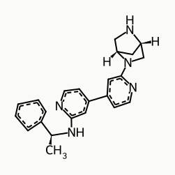 C[C@H](Nc1cc(-c2ccnc(N3C[C@@H]4C[C@H]3CN4)c2)ccn1)c1ccccc1